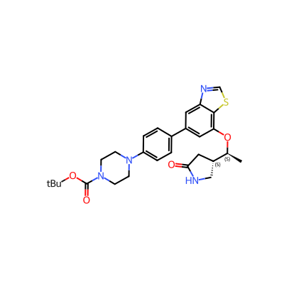 C[C@H](Oc1cc(-c2ccc(N3CCN(C(=O)OC(C)(C)C)CC3)cc2)cc2ncsc12)[C@@H]1CNC(=O)C1